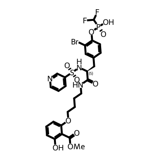 COC(=O)c1c(O)cccc1OCCCCNC(=O)[C@H](Cc1ccc(OP(=O)(O)C(F)F)c(Br)c1)NS(=O)(=O)c1cccnc1